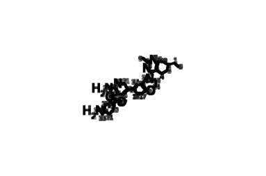 CC[C@H]1CCc2c(nc(C)nc2N2CCOc3ccc(-c4cnc(N)c(S(=O)(=O)N5CCC(C)(N)C5)c4)cc3C2)C1